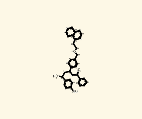 CCC(C)c1ccc(C(C)CC(CC(CC)c2ccccc2)c2ccc(COCCc3cccc4ccccc34)cc2)cc1